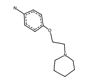 [N]c1ccc(OCCN2CCCCC2)cc1